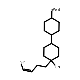 CCC/C=C\CCC1(C#N)CCC(C2CCC(CCCCC)CC2)CC1